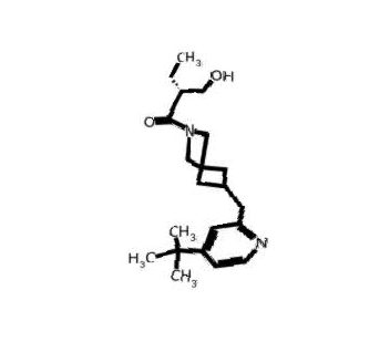 CC[C@H](CO)C(=O)N1CC2(CC(Cc3cc(C(C)(C)C)ccn3)C2)C1